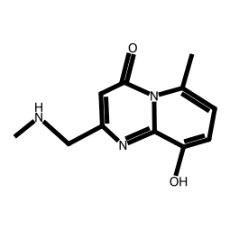 CNCc1cc(=O)n2c(C)ccc(O)c2n1